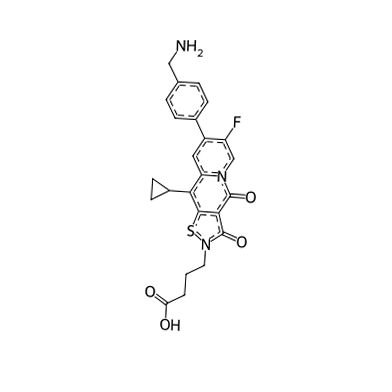 NCc1ccc(-c2cc3c(C4CC4)c4sn(CCCC(=O)O)c(=O)c4c(=O)n3cc2F)cc1